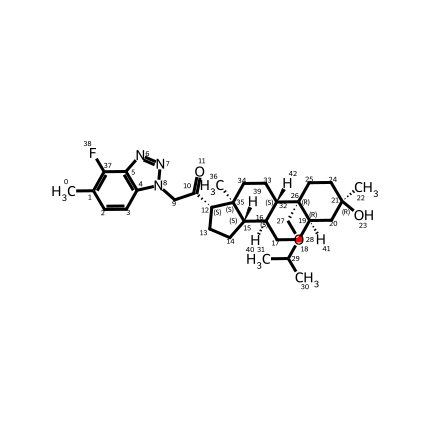 Cc1ccc2c(nnn2CC(=O)[C@H]2CC[C@H]3[C@@H]4CC[C@@H]5C[C@](C)(O)CC[C@]5(COC(C)C)[C@H]4CC[C@]23C)c1F